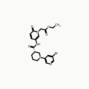 CCOC(=O)Cn1cc(NC(=O)[C@H]2CCCN(c3cncc(Br)c3)C2)ccc1=O